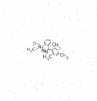 CCN(CC1CC1)c1nnc(-c2c(C)cc(C)cc2C)c2ccccc12